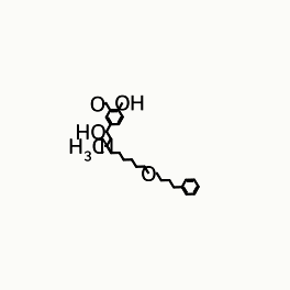 CN(CCCCCCOCCCCc1ccccc1)CC(O)c1ccc(O)c(C=O)c1